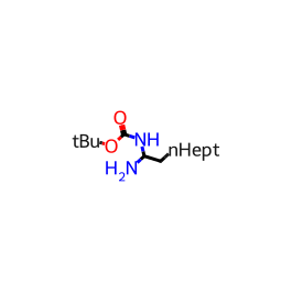 CCCCCCCCC(N)NC(=O)OC(C)(C)C